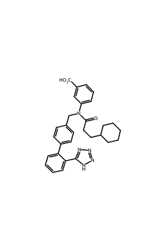 O=C(O)c1cccc(N(Cc2ccc(-c3ccccc3-c3nnn[nH]3)cc2)C(=O)CCC2CCCCC2)c1